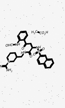 CC(=O)O.N=C(N)N1CCCC(CNC(=O)C(CC(=O)c2ccccc2NC=O)NS(=O)(=O)c2ccc3ccccc3c2)C1